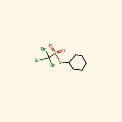 O=S(=O)(SC1CCCCC1)C(Br)(Br)Br